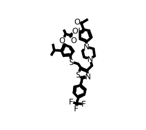 CC(=O)c1ccc(N2CCN(Cc3nc(-c4ccc(C(F)(F)F)cc4)sc3CSc3ccc(OC(C)C(=O)O)c(C(C)C)c3)CC2)cc1